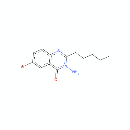 CCCCCc1nc2ccc(Br)cc2c(=O)n1N